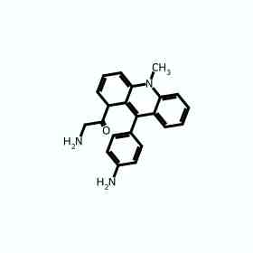 CN1C2=CC=CC(C(=O)CN)C2=C(c2ccc(N)cc2)c2ccccc21